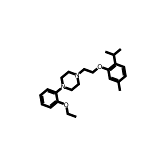 CCOc1ccccc1N1CCN(CCOc2cc(C)ccc2C(C)C)CC1